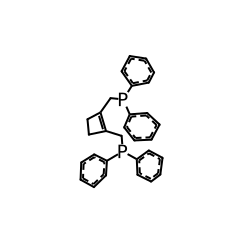 c1ccc(P(CC2=C(CP(c3ccccc3)c3ccccc3)CC2)c2ccccc2)cc1